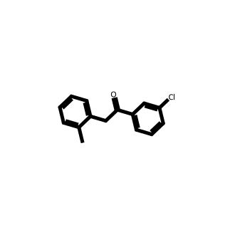 Cc1ccccc1CC(=O)c1cccc(Cl)c1